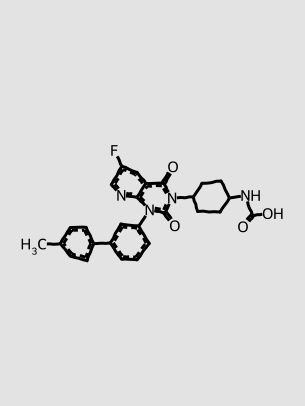 Cc1ccc(-c2cccc(-n3c(=O)n(C4CCC(NC(=O)O)CC4)c(=O)c4cc(F)cnc43)c2)cc1